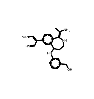 CN/C=C(\C=N)c1ccc2c(c1)C(Nc1cccc(CO)c1)CCN/C2=C(/C)N